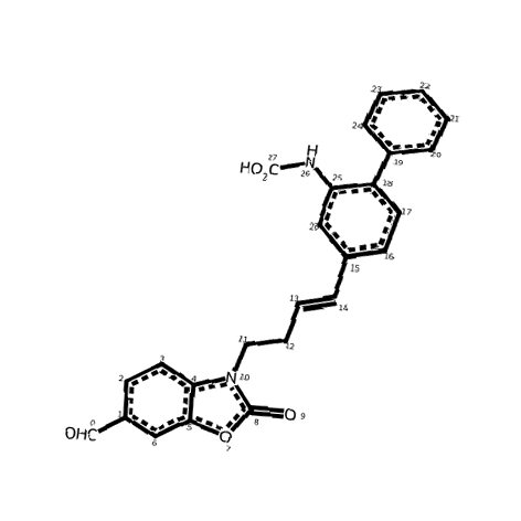 O=Cc1ccc2c(c1)oc(=O)n2CC/C=C/c1ccc(-c2ccccc2)c(NC(=O)O)c1